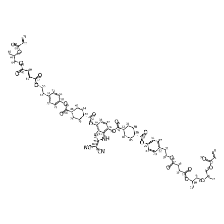 C=CC(=O)OCC(C)OCC(C)OC(=O)CCC(=O)OCCc1ccc(OC(=O)[C@H]2CC[C@H](C(=O)Oc3ccc(OC(=O)[C@H]4CC[C@H](C(=O)Oc5ccc(CCOC(=O)CCC(=O)OCC(C)OC(=O)C=C)cc5)CC4)c4c3NC(=C(C#N)C#N)S4)CC2)cc1